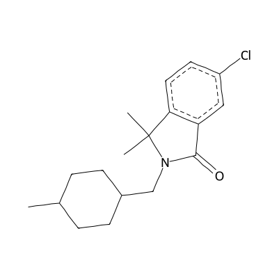 CC1CCC(CN2C(=O)c3cc(Cl)ccc3C2(C)C)CC1